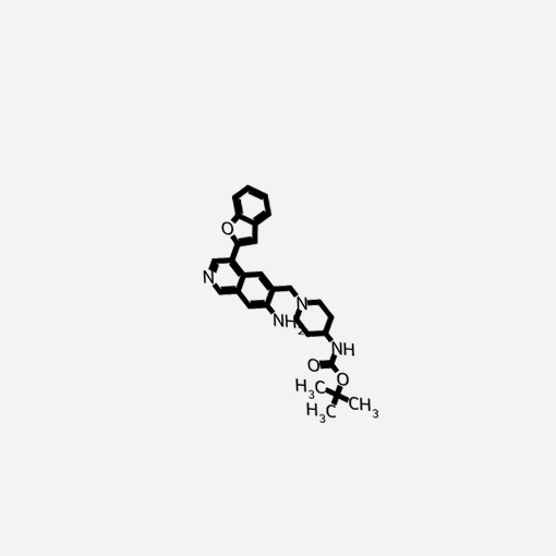 CC(C)(C)OC(=O)NC1CCN(Cc2cc3c(-c4cc5ccccc5o4)cncc3cc2N)CC1